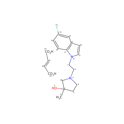 CC1(O)CCN(CCn2ccc3cc(F)ccc32)C1.O=C(O)/C=C/C(=O)O